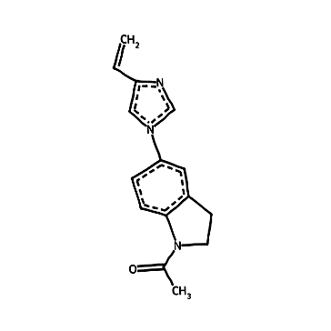 C=Cc1cn(-c2ccc3c(c2)CCN3C(C)=O)cn1